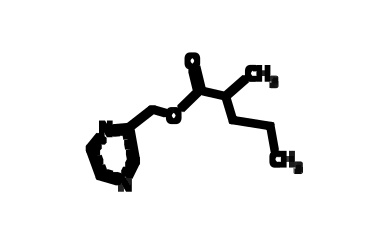 CCCC(C)C(=O)OCc1cnccn1